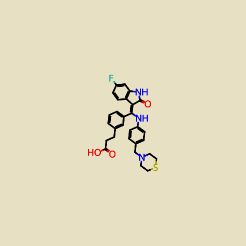 O=C(O)CCc1cccc(/C(Nc2ccc(CN3CCSCC3)cc2)=C2/C(=O)Nc3cc(F)ccc32)c1